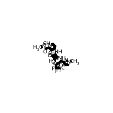 Cc1cn(C)nc1[C@H](Nc1c(Nc2ccnc(C(=O)N(C)C)c2O)c(=O)c1=O)[C@]1(C)CC(F)(F)CO1